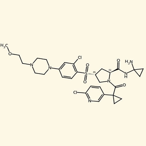 COCCN1CCN(c2ccc(S(=O)(=O)[C@@H]3C[C@@H](C(=O)NC4(N)CC4)N(C(=O)C4(c5ccc(Cl)nc5)CC4)C3)c(Cl)c2)CC1